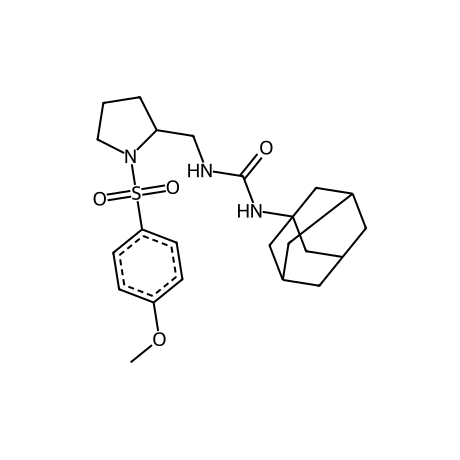 COc1ccc(S(=O)(=O)N2CCCC2CNC(=O)NC23CC4CC(CC(C4)C2)C3)cc1